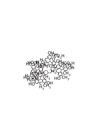 Cc1cc(C(c2cc(C)c(O)cc2C)c2cc(C3(c4cc(C)c(OCC(=O)O)c(C(c5cc(C)c(O)cc5C)c5cc(C)c(O)cc5C)c4)CCC(CC4CCC(c5cc(C)c(OCC(=O)O)c(C(c6cc(C)c(O)cc6C)c6cc(C)c(O)cc6C)c5)(c5cc(C)c(OCC(=O)O)c(C(c6cc(C)c(O)cc6C)c6cc(C)c(O)cc6C)c5)CC4)CC3)cc(C)c2OCC(=O)O)c(C)cc1O